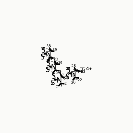 CC(C)N(C(=S)[S-])C(C)C.CC(C)N(C(=S)[S-])C(C)C.CC(C)N(C(=S)[S-])C(C)C.CC(C)N(C(=S)[S-])C(C)C.[Ti+4]